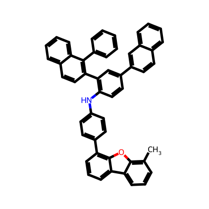 Cc1cccc2c1oc1c(-c3ccc(Nc4ccc(-c5ccc6ccccc6c5)cc4-c4ccc5ccccc5c4-c4ccccc4)cc3)cccc12